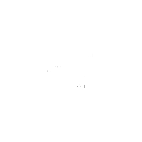 C=CC(=O)OCC1CCC(OC(=C)C(/C=C\C)=C(\C)O)C(O)C1